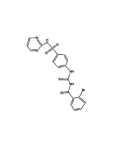 O=C(NC(=S)Nc1ccc(S(=O)(=O)Nc2ncccn2)cc1)c1ccccc1Br